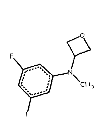 CN(c1cc(F)cc(I)c1)C1COC1